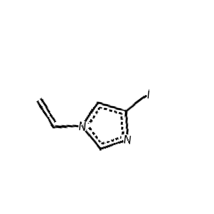 C=Cn1cnc(I)c1